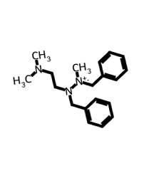 CN(C)CCN(Cc1ccccc1)[N+](C)Cc1ccccc1